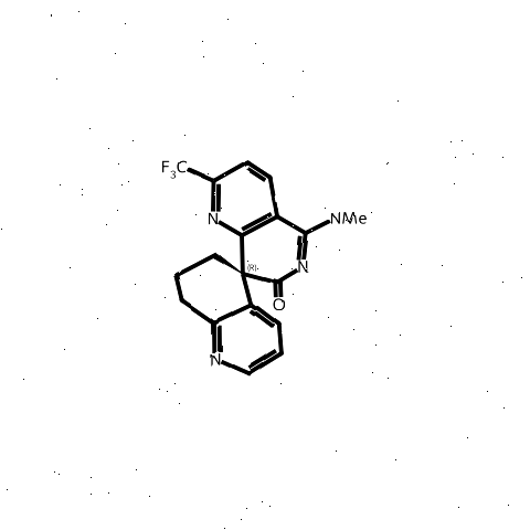 CNC1=NC(=O)[C@@]2(CCCc3ncccc32)c2nc(C(F)(F)F)ccc21